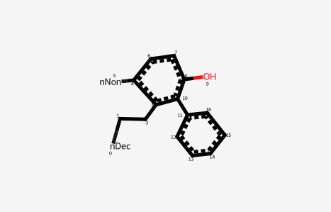 CCCCCCCCCCCCc1c(CCCCCCCCC)ccc(O)c1-c1ccccc1